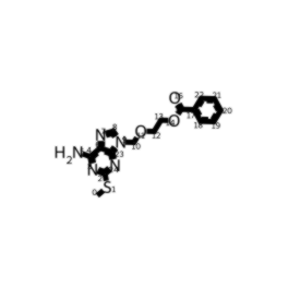 CSc1nc(N)c2ncn(COCCOC(=O)c3ccccc3)c2n1